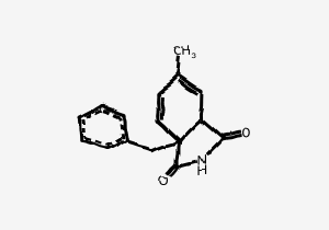 CC1=CC2C(=O)NC(=O)C2(Cc2ccccc2)C=C1